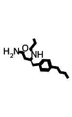 CCCCc1ccc(C[C@@H](CC(N)=O)NCCC)cc1